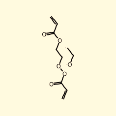 C=CC(=O)OCCOOC(=O)C=C.[CH2]C[O]